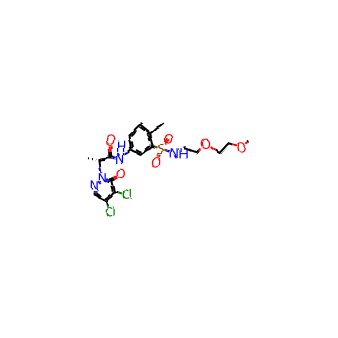 COCCOCCNS(=O)(=O)c1cc(NC(=O)[C@@H](C)n2ncc(Cl)c(Cl)c2=O)ccc1C